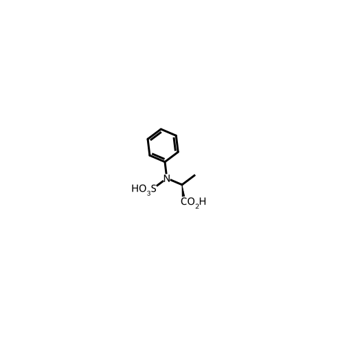 C[C@@H](C(=O)O)N(c1ccccc1)S(=O)(=O)O